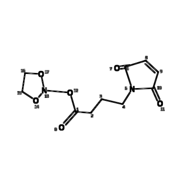 O=C(CCCN1C(=O)C=CC1=O)ON1OCCO1